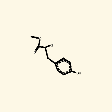 COC(=O)C(Cl)Cc1ccc(O)cc1